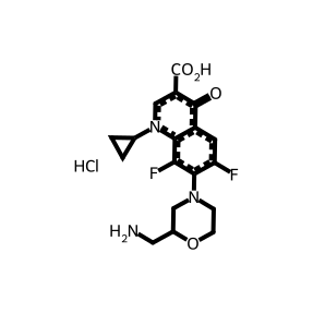 Cl.NCC1CN(c2c(F)cc3c(=O)c(C(=O)O)cn(C4CC4)c3c2F)CCO1